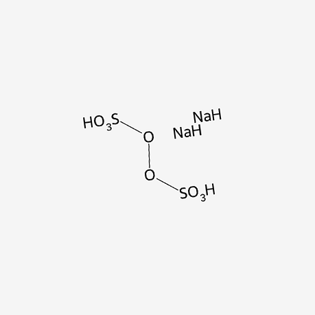 O=S(=O)(O)OOS(=O)(=O)O.[NaH].[NaH]